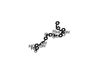 O=C(COc1cccc([C@@](O)(C(=O)O)c2ccccc2CC2CCN(Cc3ccccc3)CC2)c1)NC1CCN(C(=O)c2ccc(CCNC[C@H](O)c3ccc(O)c4[nH]c(=O)ccc34)cc2)CC1